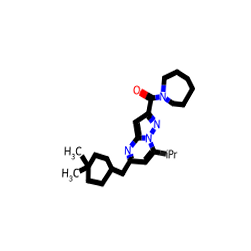 CC(C)c1cc(CC2CCC(C)(C)CC2)nc2cc(C(=O)N3CCCCCC3)nn12